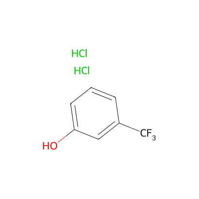 Cl.Cl.Oc1cccc(C(F)(F)F)c1